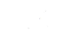 CCOC(=O)c1ccccc1-c1c(C)noc1C(N[S@@+]([O-])C(C)(C)C)C(F)(F)F